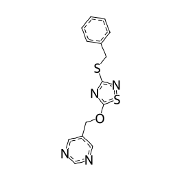 c1ccc(CSc2nsc(OCc3cncnc3)n2)cc1